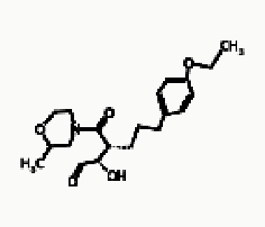 CCOc1ccc(CCC[C@@H](C(=O)N2CCOC(C)C2)[C@H](O)C=O)cc1